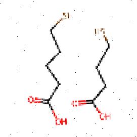 O=C(O)CCCCS.O=C(O)CCCS